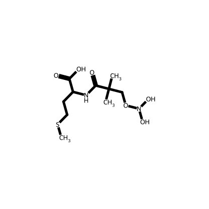 CSCCC(NC(=O)C(C)(C)CON(O)O)C(=O)O